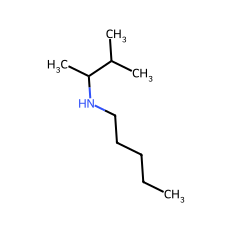 CCCCCNC(C)C(C)C